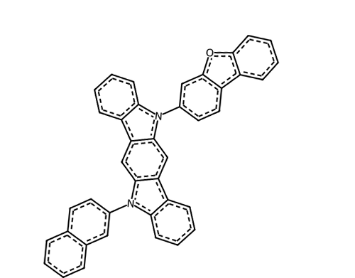 c1ccc2cc(-n3c4ccccc4c4cc5c(cc43)c3ccccc3n5-c3ccc4c(c3)oc3ccccc34)ccc2c1